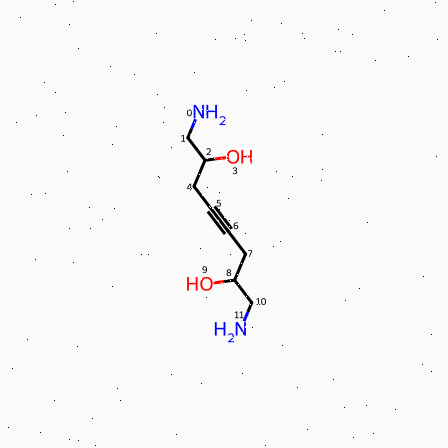 NCC(O)CC#CCC(O)CN